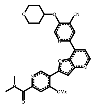 COc1cc(C(=O)N(C)C)ncc1-c1cc2nccc(-c3cc(C#N)c(OC4CCOCC4)cn3)c2o1